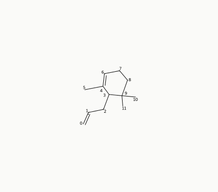 C=[C]CC1C(C)=CCCC1(C)C